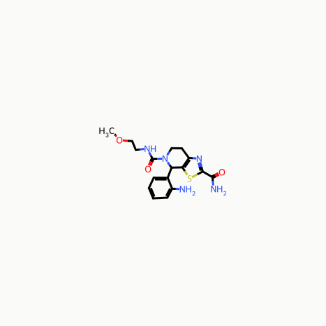 COCCNC(=O)N1CCc2nc(C(N)=O)sc2C1c1ccccc1N